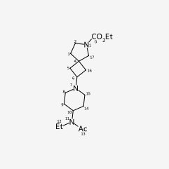 CCOC(=O)N1CCC2(CC(N3CCC(N(CC)C(C)=O)CC3)C2)C1